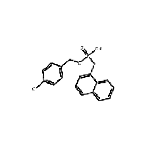 O=P(O)(Cc1cccc2ccccc12)OCc1ccc(Cl)cc1